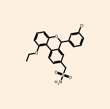 CCOc1cccc2c1-c1ccc(CS(N)(=O)=O)cc1C(c1cccc(Cl)c1)O2